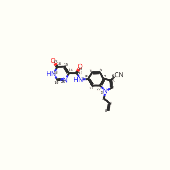 C=CCn1cc(C#N)c2ccc(NC(=O)c3cc(=O)[nH]cn3)cc21